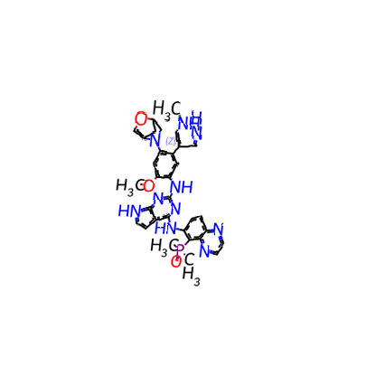 CN/C=C(\C=N)c1cc(Nc2nc(Nc3ccc4nccnc4c3P(C)(C)=O)c3cc[nH]c3n2)c(OC)cc1N1CC2CC1=CO2